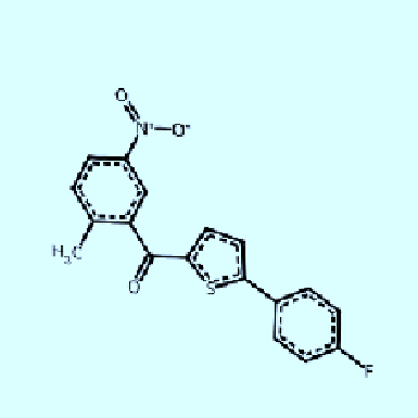 Cc1ccc([N+](=O)[O-])cc1C(=O)c1ccc(-c2ccc(F)cc2)s1